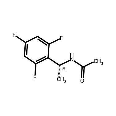 CC(=O)N[C@H](C)c1c(F)cc(F)cc1F